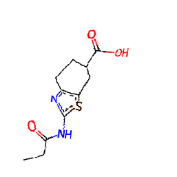 CCC(=O)Nc1nc2c(s1)CC(C(=O)O)CC2